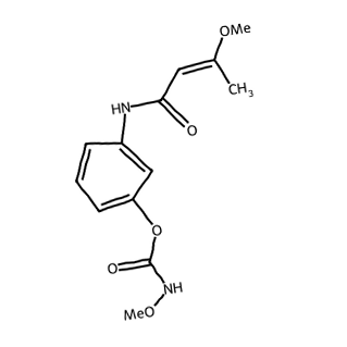 CONC(=O)Oc1cccc(NC(=O)C=C(C)OC)c1